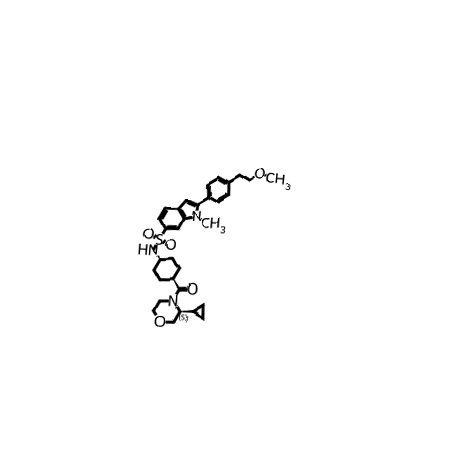 COCCc1ccc(-c2cc3ccc(S(=O)(=O)N[C@H]4CC[C@H](C(=O)N5CCOC[C@@H]5C5CC5)CC4)cc3n2C)cc1